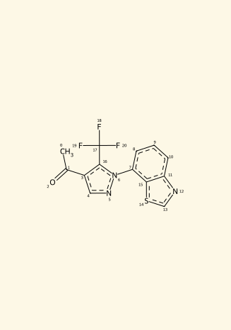 CC(=O)c1cnn(-c2cccc3ncsc23)c1C(F)(F)F